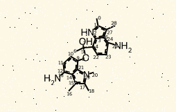 Cc1[nH]c2c(C(C)(O)Oc3ccc(N)c4c(C)c(C)n(C)c34)ccc(N)c2c1C